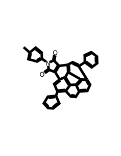 Cc1ccc(-n2c(=O)c3c4cc(-c5ccccc5)c5ccc6ccc7c(-c8ccccc8)cc(c3c2=O)c2c7c6c5c42)cc1